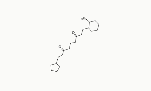 CCCC1CCCCC1CCC(=O)CCCC(=O)CCC1CCCC1